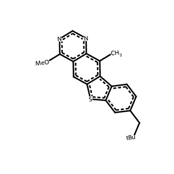 COc1ncnc2c(C)c3c(cc12)sc1cc(CC(C)(C)C)ccc13